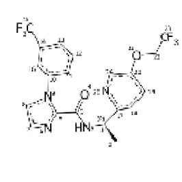 C[C@@H](NC(=O)c1nccn1-c1cccc(C(F)(F)F)c1)c1ccc(OCC(F)(F)F)cn1